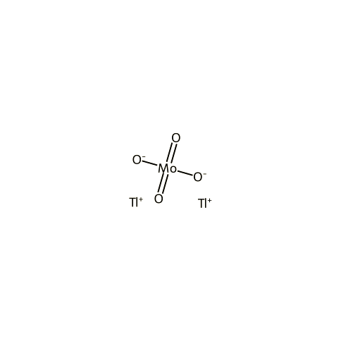 [O]=[Mo](=[O])([O-])[O-].[Tl+].[Tl+]